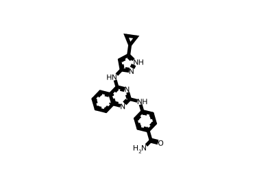 NC(=O)c1ccc(Nc2nc(Nc3cc(C4CC4)[nH]n3)c3ccccc3n2)cc1